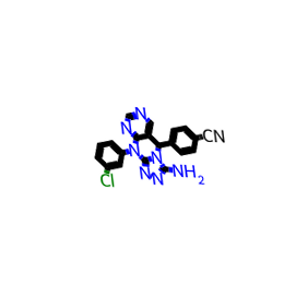 N#Cc1ccc(C2c3cncnc3N(c3cccc(Cl)c3)c3nnc(N)n32)cc1